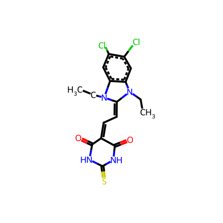 CCN1C(=CC=C2C(=O)NC(=S)NC2=O)N(CC)c2cc(Cl)c(Cl)cc21